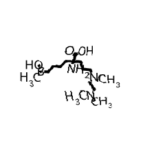 CB(O)CCCCC(N)(CCCN(C)CCN(C)C)C(=O)O